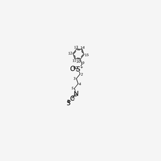 [O-][S+](CCCCN=C=S)Cc1ccccc1